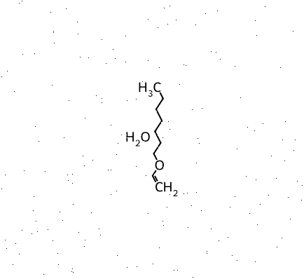 C=COCCCCCCC.O